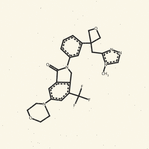 Cn1cnnc1CC1(c2cccc(N3Cc4c(cc(N5CCOCC5)cc4C(F)(F)F)C3=O)c2)COC1